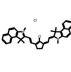 CN1C(=CC=C2CCC(C=CC3=[N+](C)c4ccc5ccccc5c4C3(C)C)=C2Cl)C(C)(C)c2c1ccc1ccccc21.[Cl-]